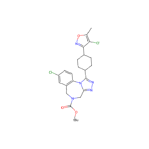 Cc1onc(C2CCC(c3nnc4n3-c3ccc(Cl)cc3CN(C(=O)OC(C)(C)C)C4)CC2)c1Cl